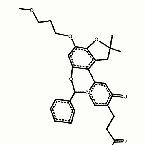 COCCCOc1cc2c(c3c1OC(C)(C)C3)-c1cc(=O)c(CCC(=O)O)cn1C(c1ccccc1)O2